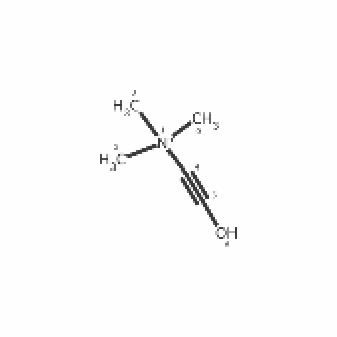 C[N+](C)(C)C#CO